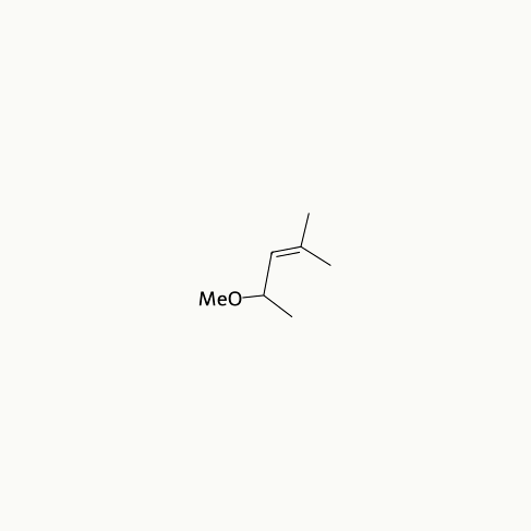 COC(C)C=C(C)C